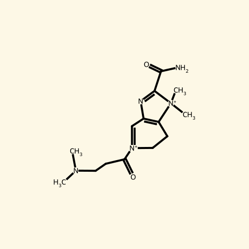 CN(C)CCC(=O)[N+]1=CC2=C(CC1)[N+](C)(C)C(C(N)=O)=N2